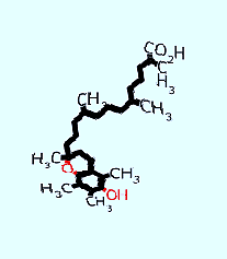 Cc1c(C)c2c(c(C)c1O)CCC(C)(CCCC(C)CCCC(C)CCCC(C)C(=O)O)O2